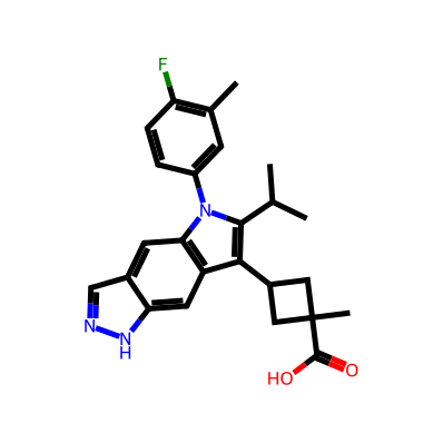 Cc1cc(-n2c(C(C)C)c(C3CC(C)(C(=O)O)C3)c3cc4[nH]ncc4cc32)ccc1F